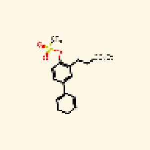 CCOC(=O)CCc1cc(C2=CCCC=C2)ccc1OS(=O)(=O)C(F)(F)F